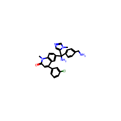 Cn1cncc1C(N)(c1ccc(CN)cc1)c1ccc2c(c1)c(-c1cccc(Cl)c1)cc(=O)n2C